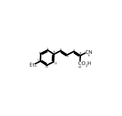 CCc1ccc(C=CC=C(C#N)C(=O)O)cc1